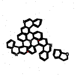 c1ccc(N(c2ccccc2-c2cccc3ncc4ccccc4c23)c2ccccc2-c2cccc3ncc4ccccc4c23)c(-c2cccc3ncc4ccccc4c23)c1.c1ccc2c(c1)CCO2